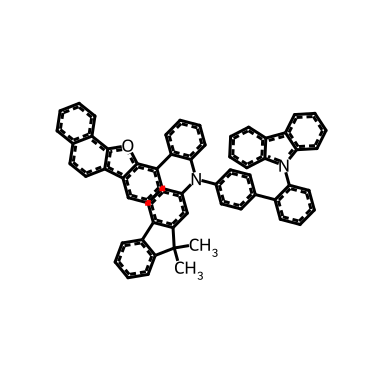 CC1(C)c2ccccc2-c2ccc(N(c3ccc(-c4ccccc4-n4c5ccccc5c5ccccc54)cc3)c3ccccc3-c3cccc4c3oc3c5ccccc5ccc43)cc21